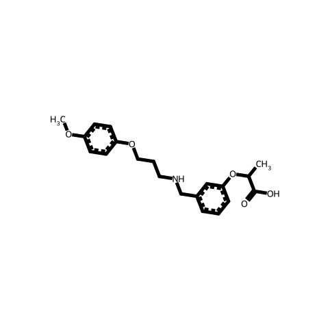 COc1ccc(OCCCNCc2cccc(OC(C)C(=O)O)c2)cc1